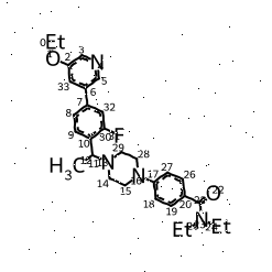 CCOc1cncc(-c2ccc(C(C)N3CCN(c4ccc(C(=O)N(CC)CC)cc4)CC3)c(F)c2)c1